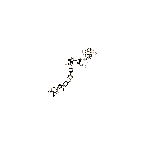 Cc1cc(-c2ncnc3[nH]c(-c4ccc(C5CCN(CC6CCN(c7ccc(N8CCC(=O)NC8=O)cc7F)CC6)CC5)cc4)cc23)ccc1CNC(=O)c1nc(C(C)(C)C)no1